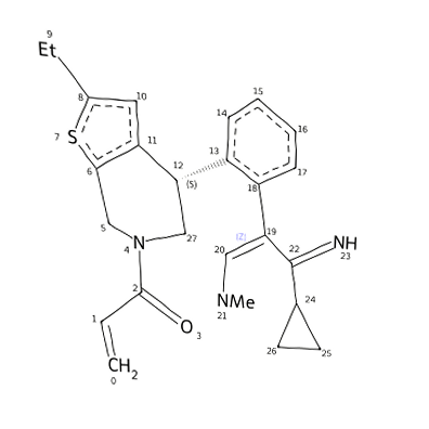 C=CC(=O)N1Cc2sc(CC)cc2[C@H](c2ccccc2/C(=C/NC)C(=N)C2CC2)C1